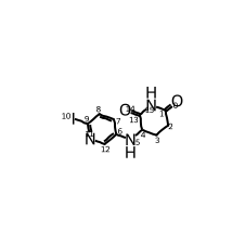 O=C1CCC(Nc2ccc(I)nc2)C(=O)N1